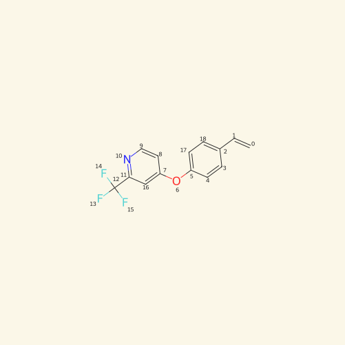 C=Cc1ccc(Oc2ccnc(C(F)(F)F)c2)cc1